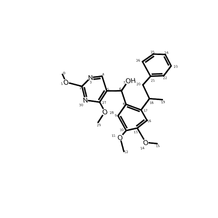 COc1ncc(C(O)c2cc(OC)c(OC)cc2C(C)Cc2ccccc2)c(OC)n1